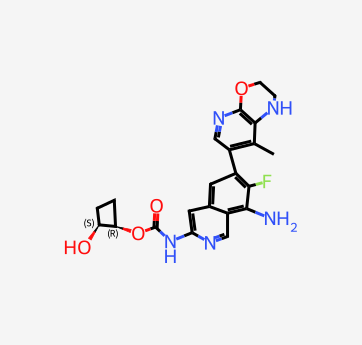 Cc1c(-c2cc3cc(NC(=O)O[C@@H]4CC[C@@H]4O)ncc3c(N)c2F)cnc2c1NCCO2